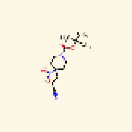 CC(C)(C)OC(=O)N1CCC(CCC#N)([N+](=O)[O-])CC1